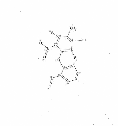 Cc1c(F)c(F)c(Oc2ccccc2C=O)c([N+](=O)[O-])c1F